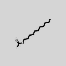 CCCCCCCCCCCOC(C)=O